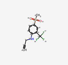 C#CCNc1ccc(S(C)(=O)=O)cc1C(F)(F)F